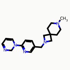 CN1CCC2(CC1)CN(Cc1ccc(N3C=CC=NC3)nc1)C2